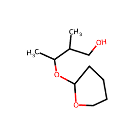 CC(CO)C(C)OC1CCCCO1